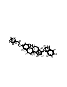 C[C@]12CC[C@@H]3c4ccc(OCc5cncs5)cc4CC[C@H]3[C@@H]1CCC2n1cnc2ccccc21